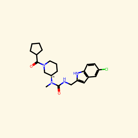 CN(C(=O)NCc1cc2cc(Cl)ccc2[nH]1)[C@@H]1CCCN(C(=O)C2CCCC2)C1